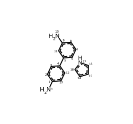 Nc1ccc(-c2cccc(N)c2)cc1.c1cc[nH]c1